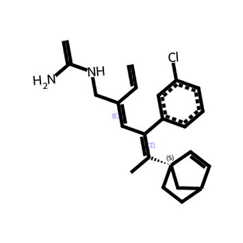 C=C/C(=C\C(=C(/C)[C@@]12C=CC(CC1)C2)c1cccc(Cl)c1)CNC(=C)N